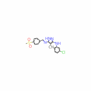 CS(=O)(=O)c1ccc(/C=N/c2[nH]nc(Nc3cccc(Cl)c3)c2C#N)cc1